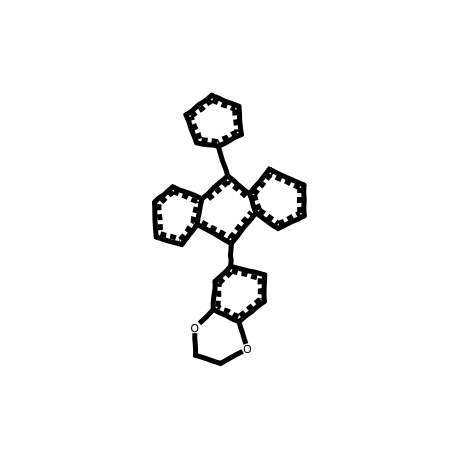 c1ccc(-c2c3ccccc3c(-c3ccc4c(c3)OCCO4)c3ccccc23)cc1